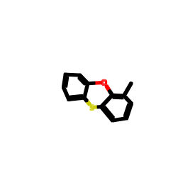 Cc1cccc2c1Oc1ccccc1S2